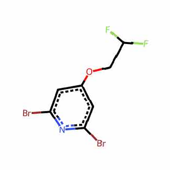 FC(F)COc1cc(Br)nc(Br)c1